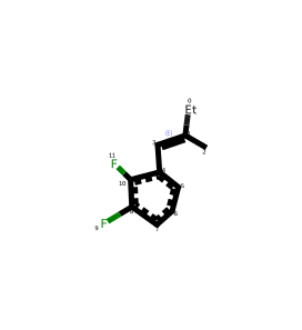 CC/C(C)=C/c1cccc(F)c1F